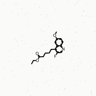 CCOC(=O)CCCCc1c(F)cnc2ccc(OC)cc12